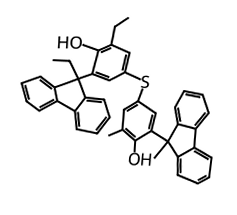 CCc1cc(Sc2cc(C)c(O)c(C3(C)c4ccccc4-c4ccccc43)c2)cc(C2(CC)c3ccccc3-c3ccccc32)c1O